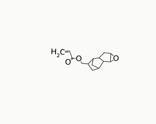 C=CC(=O)OCC1CC2CC1C1CC3OC3C21